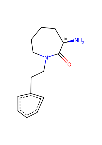 N[C@@H]1CCCCN(CCc2ccccc2)C1=O